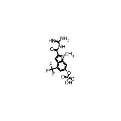 Cn1c(C(=O)NC(=N)N)cc2c(C(F)(F)F)cc(OS(=O)(=O)O)cc21